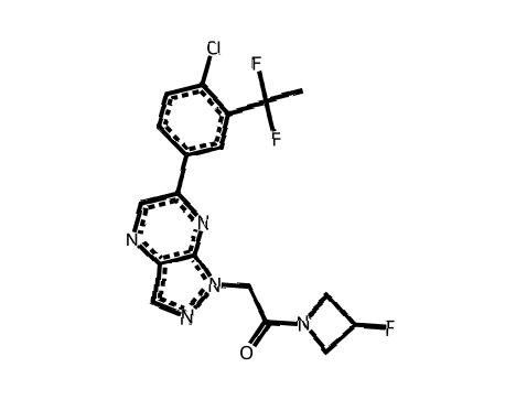 CC(F)(F)c1cc(-c2cnc3cnn(CC(=O)N4CC(F)C4)c3n2)ccc1Cl